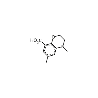 Cc1cc(C(=O)O)c2c(c1)N(C)CCO2